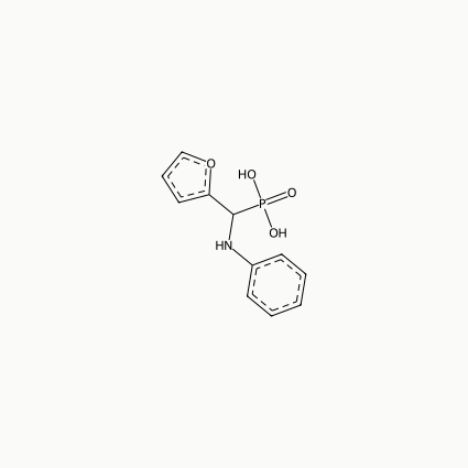 O=P(O)(O)C(Nc1ccccc1)c1ccco1